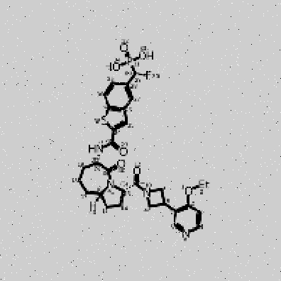 CCOc1ccncc1C1CN(C(=O)[C@@H]2CC[C@@H]3CCC[C@H](NC(=O)c4cc5cc([C@H](F)P(=O)(O)O)ccc5s4)C(=O)N32)C1